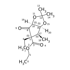 CCOC(=O)[C@]1(CC)C(=O)[C@H]2OC(C)(C)O[C@H]2[C@H]1C